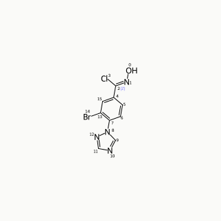 O/N=C(\Cl)c1ccc(-n2cncn2)c(Br)c1